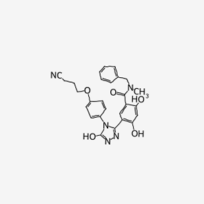 CN(Cc1ccccc1)C(=O)c1cc(-c2nnc(O)n2-c2ccc(OCCCC#N)cc2)c(O)cc1O